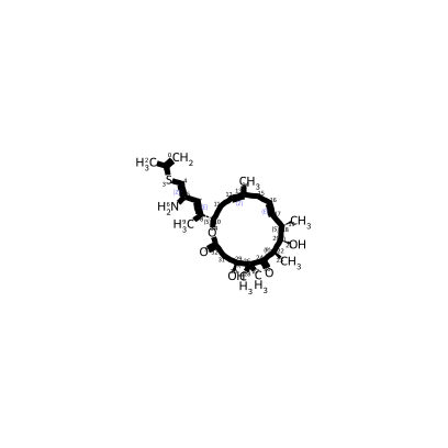 C=C(C)S/C=C(N)/C=C(\C)[C@@H]1C/C=C(/C)C/C=C/[C@H](C)[C@H](O)[C@@H](C)C(=O)C(C)(C)[C@@H](O)CC(=O)O1